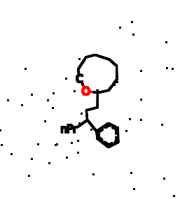 [CH2]CCC(CC[C]1CCCCCCCCO1)c1ccccc1